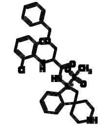 CS(=O)(=O)[N+]1(NC(=O)C(COCc2ccccc2)Nc2c(Cl)cccc2Cl)CC2(CCNCC2)c2ccccc21